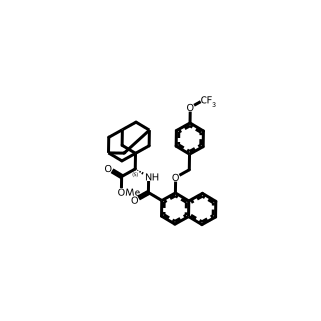 COC(=O)[C@@H](NC(=O)c1ccc2ccccc2c1OCc1ccc(OC(F)(F)F)cc1)C12CC3CC(CC(C3)C1)C2